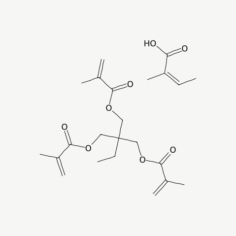 C=C(C)C(=O)OCC(CC)(COC(=O)C(=C)C)COC(=O)C(=C)C.CC=C(C)C(=O)O